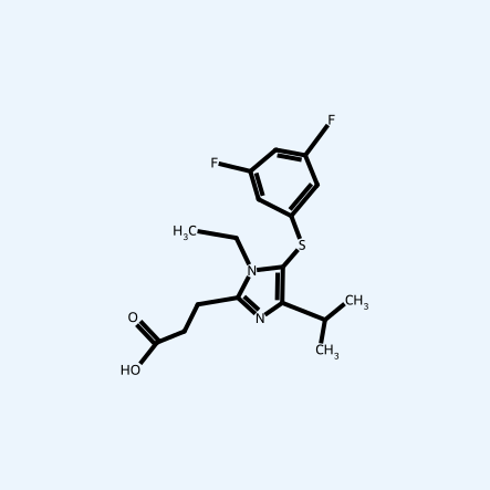 CCn1c(CCC(=O)O)nc(C(C)C)c1Sc1cc(F)cc(F)c1